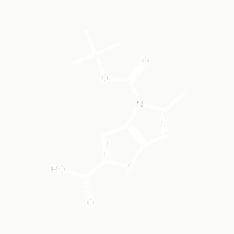 Cc1cc2sc(C(=O)O)cc2n1C(=O)OC(C)(C)C